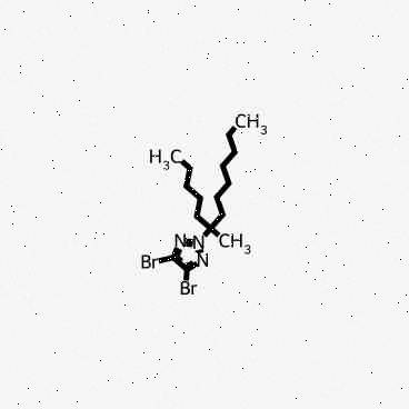 CCCCCCCC(C)(CCCCC)n1nc(Br)c(Br)n1